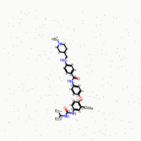 CCCCN1CCC(CNc2ccc(C(=O)Nc3ccc(Oc4ccc(NC(=O)NC(CC)CC)cc4OC)cc3)cc2)CC1